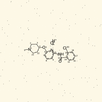 CN1CCC(Oc2cccc(NC(=O)c3ccccc3Cl)n2)CC1.[Cl-].[H+]